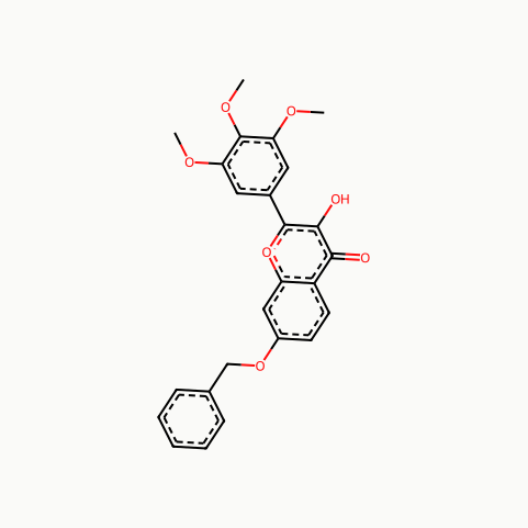 COc1cc(-c2oc3cc(OCc4ccccc4)ccc3c(=O)c2O)cc(OC)c1OC